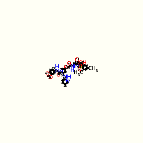 Cc1cc(C)c(S(=O)(=O)N[C@@H](CNC(=O)CO[C@@H]2C[C@@H](CNc3ccccn3)N(C(=O)Nc3ccc4c(c3)OCO4)C2)C(=O)O)c(C)c1